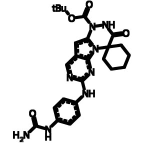 CC(C)(C)OC(=O)N1NC(=O)C2(CCCCC2)n2c1cc1cnc(Nc3ccc(NC(N)=O)cc3)nc12